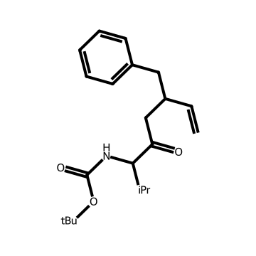 C=CC(CC(=O)C(NC(=O)OC(C)(C)C)C(C)C)Cc1ccccc1